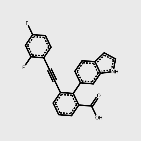 O=C(O)c1cccc(C#Cc2ccc(F)cc2F)c1-c1ccc2cc[nH]c2c1